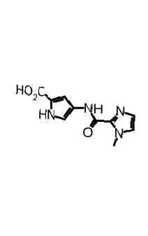 Cn1ccnc1C(=O)Nc1c[nH]c(C(=O)O)c1